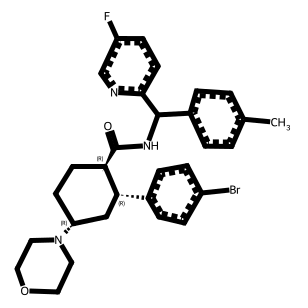 Cc1ccc(C(NC(=O)[C@@H]2CC[C@@H](N3CCOCC3)C[C@H]2c2ccc(Br)cc2)c2ccc(F)cn2)cc1